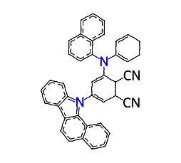 N#CC1C=C(n2c3ccccc3c3ccc4ccccc4c32)C=C(N(C2=CCCC=C2)c2cccc3ccccc23)C1C#N